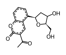 CC(=O)c1cc2c([C@H]3CC(O)[C@@H](CO)O3)cccc2oc1=O